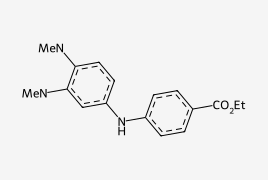 CCOC(=O)c1ccc(Nc2ccc(NC)c(NC)c2)cc1